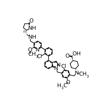 COc1cc(Cn2ncc3c(-c4cccc(-c5ccc(CNC[C@@H]6CCC(=O)N6)c(OC)n5)c4Cl)cccc32)c(Cl)cc1CN(C)[C@H]1CC[C@H](C(=O)O)CC1